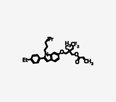 C=CC(=O)OCC(C)(COc1ccc2cc(-c3ccc(CC)cc3)n(CCCC(C)C)c2c1)CC(F)(F)F